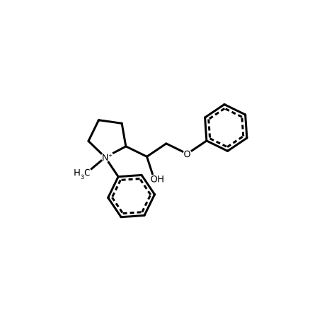 C[N+]1(c2ccccc2)CCCC1C(O)COc1ccccc1